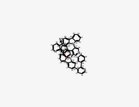 N#Cc1cccc(-c2c(-n3c4ccccc4c4ccc(-c5cccnc5-c5ccccc5)cc43)cncc2-n2c3ccccc3c3ccc(-c4cccnc4-c4ccccc4)cc32)c1